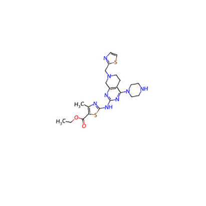 CCOC(=O)c1sc(Nc2nc3c(c(N4CCNCC4)n2)CCN(Cc2nccs2)C3)nc1C